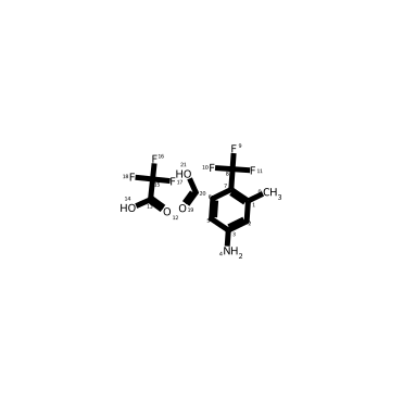 Cc1cc(N)ccc1C(F)(F)F.O=C(O)C(F)(F)F.O=CO